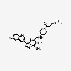 COCCC(=O)N1CCC(NCc2nc3c(-c4cnc5ccc(F)cc5c4)cnn3c(N)c2Br)CC1